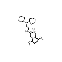 COc1ccc(OC)c2c1C[C@@H](O)[C@H](NCCC(C1CCCCC1)C1CCCCC1)C2